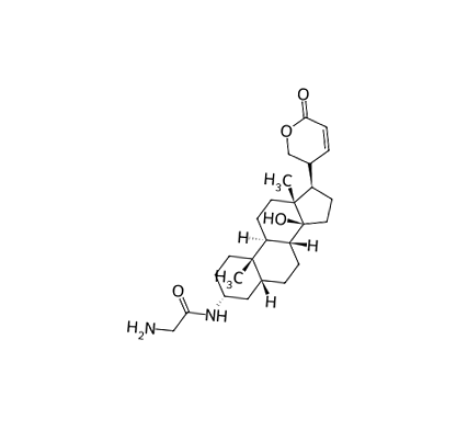 C[C@]12CC[C@@H](NC(=O)CN)C[C@H]1CC[C@@H]1[C@@H]2CC[C@]2(C)[C@@H](C3C=CC(=O)OC3)CC[C@]12O